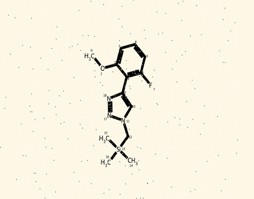 COc1cccc(F)c1-c1cn(C[Si](C)(C)C)nn1